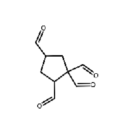 O=CC1CC(C=O)C(C=O)(C=O)C1